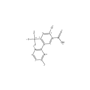 Cc1ccnc(-c2cc(C(=O)O)c(Cl)cc2C(F)(F)F)n1